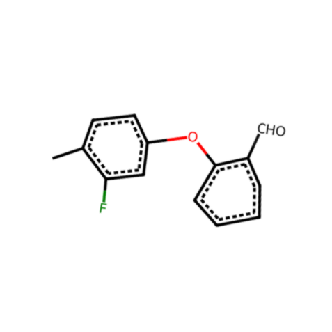 Cc1ccc(Oc2ccccc2C=O)cc1F